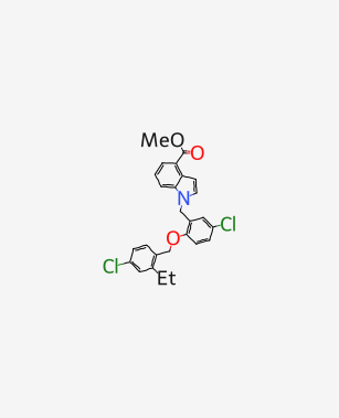 CCc1cc(Cl)ccc1COc1ccc(Cl)cc1Cn1ccc2c(C(=O)OC)cccc21